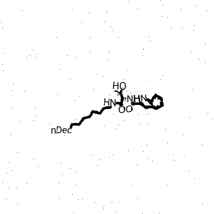 CCCCCCCCCCCCCCCCCCNC(=O)[C@@H](NC(=O)c1cc2ccccc2[nH]1)[C@@H](C)O